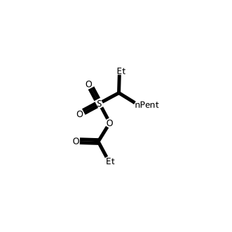 CCCCCC(CC)S(=O)(=O)OC(=O)CC